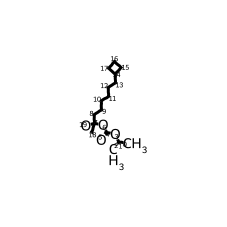 CC(C)OC(=O)OC1(CCCCCCC2CCC2)CO1